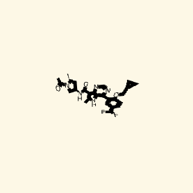 CC(=O)N1C[C@H](NC(=O)c2c(C)[nH]c3c(-c4cc(C(F)F)ccc4OCC4CC4)ncnc23)C[C@H]1C